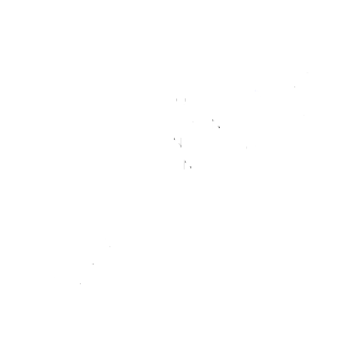 CCOC(=O)/C=C/Cn1c(=O)c(C2CCCC2)nn(CCCc2cccc(SC(C)(C)C(=O)OCC)c2)c1=O